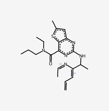 C=C/C=C(\N=C/C)C(C)Nc1nc(C(=O)N(CC)CCC)c2sc(C)cc2n1